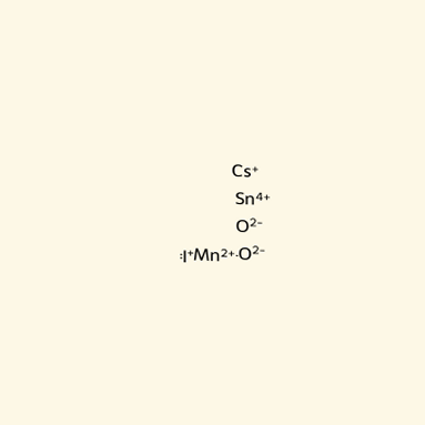 [Cs+].[I+].[Mn+2].[O-2].[O-2].[Sn+4]